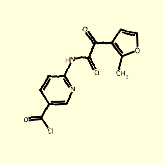 Cc1occc1C(=O)C(=O)Nc1ccc(C(=O)Cl)cn1